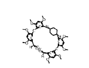 COc1cc(OC)c2cc1Cc1cc(c(OC)cc1OC)[C@H]1CC[C@H](CC1)c1cc(c(OC)cc1OC)Cc1cc(c(OC)cc1OC)[C@H]1CC[C@@H]2CC1